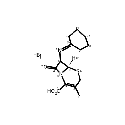 Br.CC1=C(C(=O)O)N2C(=O)C(N=C3CCCCC3)[C@H]2SC1